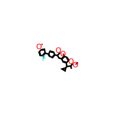 COC(=O)C(C)C(c1ccc2c(c1)CC(c1ccc(-c3cc(OC)ccc3F)cc1)C(OC)O2)C1CC1